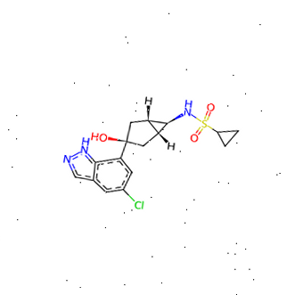 O=S(=O)(N[C@H]1[C@@H]2C[C@](O)(c3cc(Cl)cc4cn[nH]c34)C[C@@H]21)C1CC1